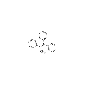 CP(c1ccccc1)N(c1ccccc1)c1ccccc1